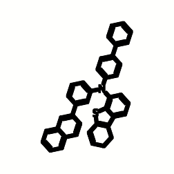 C1=Cc2sc3c(N(c4ccc(-c5ccccc5)cc4)c4cccc(-c5ccc6ccccc6c5)c4)cccc3c2CC1